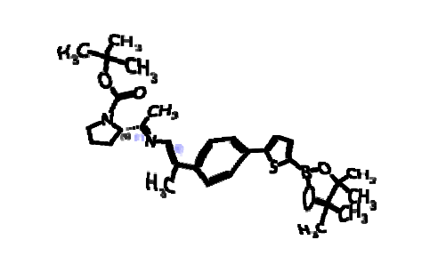 C/C(=C\N=C(/C)[C@@H]1CCCN1C(=O)OC(C)(C)C)c1ccc(-c2ccc(B3OC(C)(C)C(C)(C)O3)s2)cc1